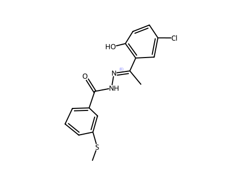 CSc1cccc(C(=O)N/N=C(\C)c2cc(Cl)ccc2O)c1